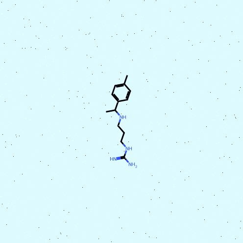 Cc1ccc(C(C)NCCCNC(=N)N)cc1